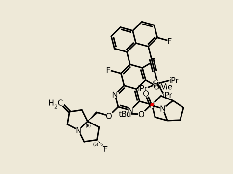 C=C1CN2C[C@@H](F)C[C@@]2(COc2nc(N3CC4CCC(C3)N4C(=O)OC(C)(C)C)c3c(OC)c(F)c(-c4cccc5ccc(F)c(C#C[Si](C(C)C)(C(C)C)C(C)C)c45)c(F)c3n2)C1